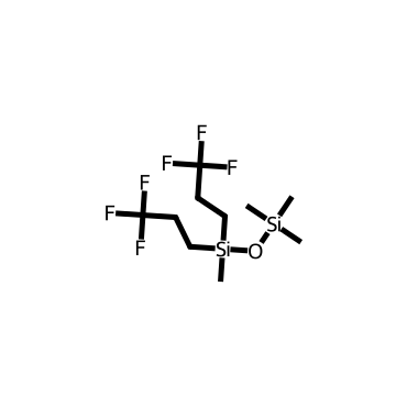 C[Si](C)(C)O[Si](C)(CCC(F)(F)F)CCC(F)(F)F